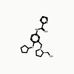 N=C(Nc1ccc(OC2CCCC2)c(CN2CCC[C@@H]2CO)c1)c1cccs1